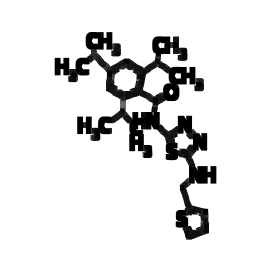 CC(C)c1cc(C(C)C)c(C(=O)Nc2nnc(NCc3cccs3)s2)c(C(C)C)c1